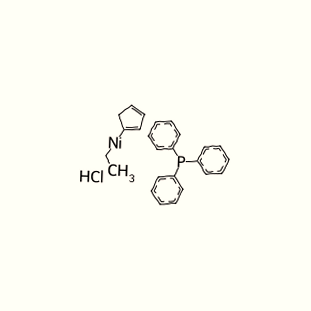 C[CH2][Ni][C]1=CC=CC1.Cl.c1ccc(P(c2ccccc2)c2ccccc2)cc1